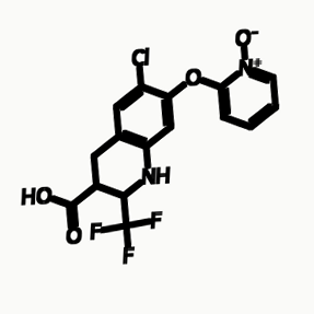 O=C(O)C1Cc2cc(Cl)c(Oc3cccc[n+]3[O-])cc2NC1C(F)(F)F